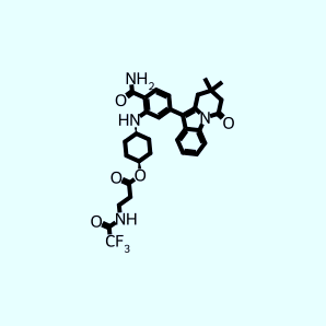 CC1(C)CC(=O)n2c(c(-c3ccc(C(N)=O)c(N[C@H]4CC[C@H](OC(=O)CCNC(=O)C(F)(F)F)CC4)c3)c3ccccc32)C1